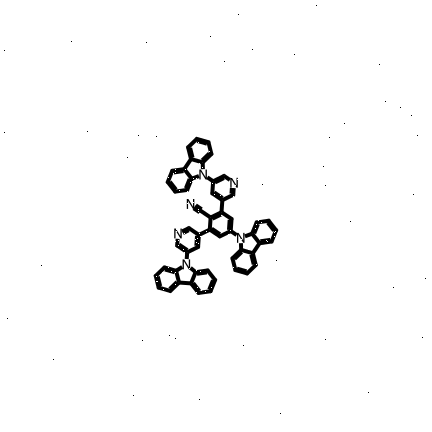 N#Cc1c(-c2cncc(-n3c4ccccc4c4ccccc43)c2)cc(-n2c3ccccc3c3ccccc32)cc1-c1cncc(-n2c3ccccc3c3ccccc32)c1